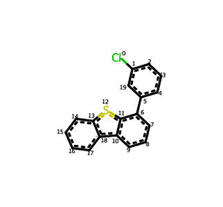 Clc1c[c]cc(-c2cccc3c2sc2ccccc23)c1